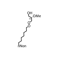 CCCCCCCCCCCCCCCCOOC[C@H](CO)OC